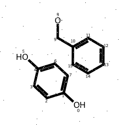 Oc1ccc(O)cc1.[O]Cc1ccccc1